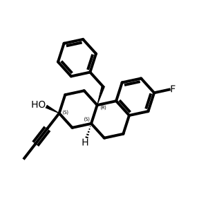 CC#C[C@]1(O)CC[C@]2(Cc3ccccc3)c3ccc(F)cc3CC[C@H]2C1